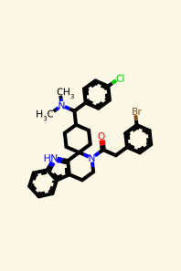 CN(C)C(c1ccc(Cl)cc1)C1CCC2(CC1)c1[nH]c3ccccc3c1CCN2C(=O)Cc1cccc(Br)c1